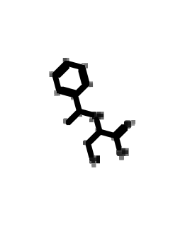 CC(NC(CS)C(=O)O)c1ccccc1